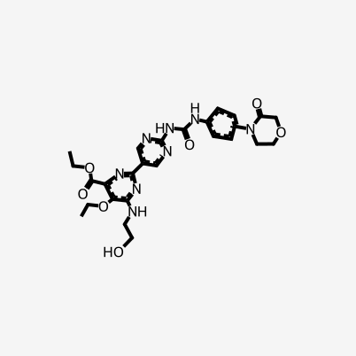 CCOC(=O)c1nc(-c2cnc(NC(=O)Nc3ccc(N4CCOCC4=O)cc3)nc2)nc(NCCO)c1OCC